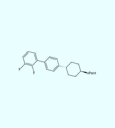 CCCCC[C@H]1CC[C@H](c2ccc(-c3cccc(F)c3F)cc2)CC1